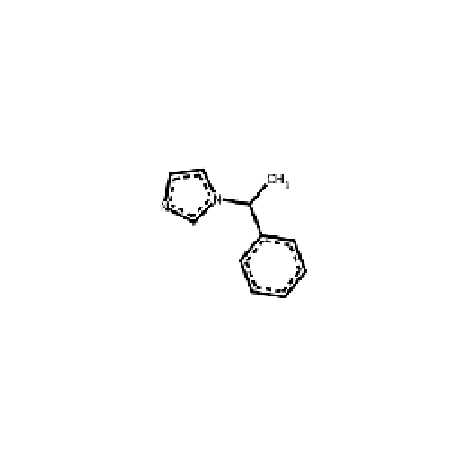 CC(c1ccccc1)n1[c]ncc1